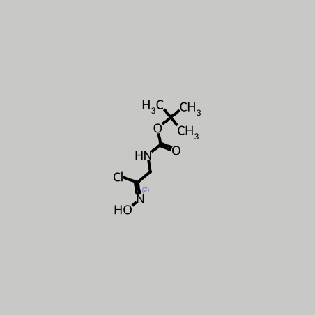 CC(C)(C)OC(=O)NC/C(Cl)=N/O